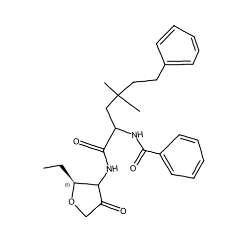 CC[C@@H]1OCC(=O)C1NC(=O)C(CC(C)(C)CCc1ccccc1)NC(=O)c1ccccc1